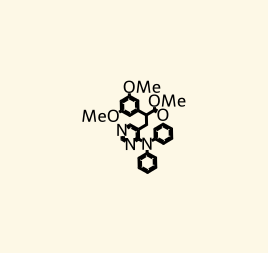 COC(=O)C(Cc1cncnc1N(c1ccccc1)c1ccccc1)c1cc(OC)cc(OC)c1